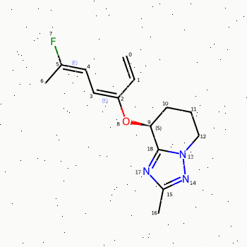 C=C/C(=C\C=C(/C)F)O[C@H]1CCCn2nc(C)nc21